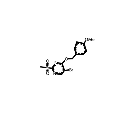 COc1ccc(COc2nc(S(C)(=O)=O)ncc2Br)cc1